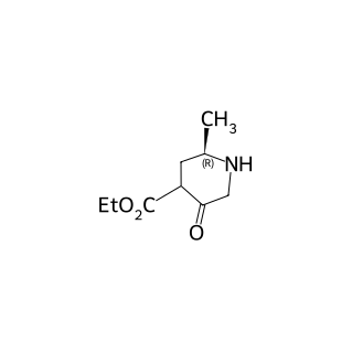 CCOC(=O)C1C[C@@H](C)NCC1=O